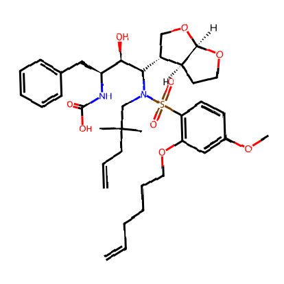 C=CCCCCOc1cc(OC)ccc1S(=O)(=O)N(CC(C)(C)CC=C)C([C@H](O)[C@H](Cc1ccccc1)NC(=O)O)[C@@H]1CO[C@H]2OCC[C@H]21